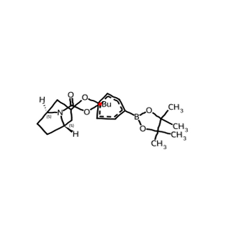 CC(C)(C)OC(=O)N1[C@H]2CC[C@H]1CC(Oc1ccc(B3OC(C)(C)C(C)(C)O3)cc1)C2